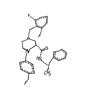 C[C@@H](NC(=O)C1CN(Cc2c(F)cccc2F)CCN1c1ccc(F)cc1)c1ccccc1